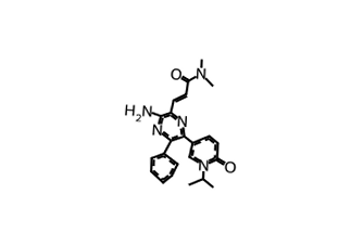 CC(C)n1cc(-c2nc(C=CC(=O)N(C)C)c(N)nc2-c2ccccc2)ccc1=O